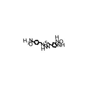 NC(=O)c1ccc(CNC2=NN=C(c3ccc4[nH]c(=O)[nH]c4c3)CS2)cc1